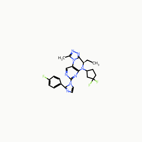 CC[C@@H]1c2nnc(C)n2-c2cnc(-n3ccnc3-c3ccc(F)cc3)nc2N1C1CCC(F)(F)C1